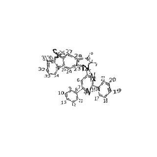 Cc1c(C)n(-c2cc(-c3ccccc3)nc(-c3ccccc3)n2)c2cc3c(cc12)sc1ccccc13